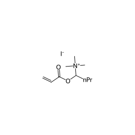 C=CC(=O)OC(CCC)[N+](C)(C)C.[I-]